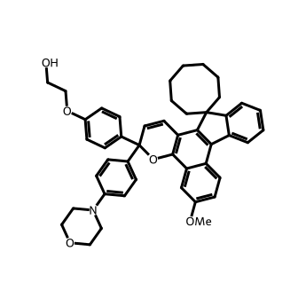 COc1ccc2c3c(c4c(c2c1)OC(c1ccc(OCCO)cc1)(c1ccc(N2CCOCC2)cc1)C=C4)C1(CCCCCCC1)c1ccccc1-3